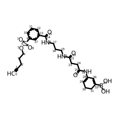 C#CCCCOS(=O)(=O)c1cccc(C(=O)NCCCNC(=O)CCC(=O)NC2=CCCC(B(O)O)=C2)c1